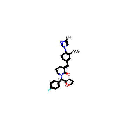 COc1cc(/C=C2\CCCN([C@H](c3ccc(F)cc3)[C@H]3CCCO3)C2=O)ccc1-n1cnc(C)c1